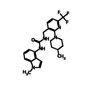 CC1CCN(c2nc(C(F)(F)F)ccc2CNC(=O)Nc2cccc3c2ccn3C)CC1